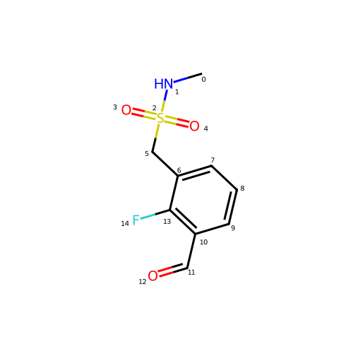 CNS(=O)(=O)Cc1cccc(C=O)c1F